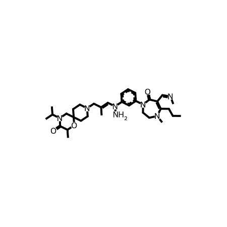 CCCC1=C(/C=N\C)C(=O)N(c2cccc(N(N)/C=C(\C)CN3CCC4(CC3)CN(C(C)C)C(=O)C(C)O4)c2)CCN1C